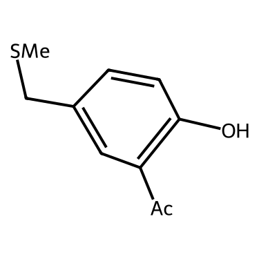 CSCc1ccc(O)c(C(C)=O)c1